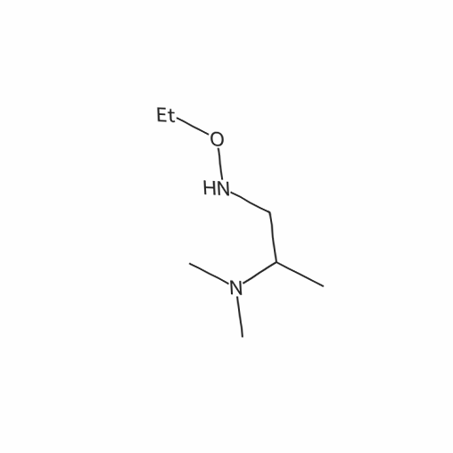 CCONCC(C)N(C)C